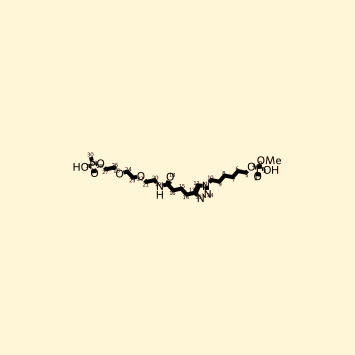 COP(=O)(O)OCCCCCCn1cc(CCCC(=O)NCCOCCOCCOP(C)(=O)O)nn1